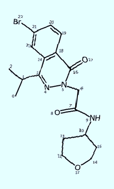 CC(C)c1nn(CC(=O)NC2CCOCC2)c(=O)c2ccc(Br)cc12